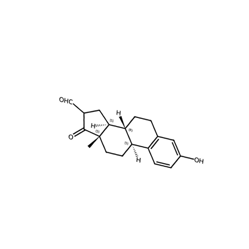 C[C@]12CC[C@@H]3c4ccc(O)cc4CC[C@H]3[C@@H]1CC(C=O)C2=O